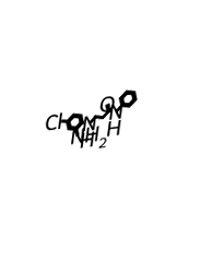 Nc1cc(Cl)ccc1NCCC(=O)Nc1ccccc1